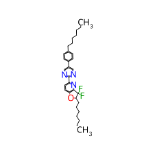 CCCCCCCc1ccc(-c2cnc(-c3ccc4c(n3)C(F)(F)C(CCCCCCC)O4)nc2)cc1